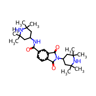 CC1(C)CC(NC(=O)c2ccc3c(c2)C(=O)N(C2CC(C)(C)NC(C)(C)C2)C3=O)CC(C)(C)N1